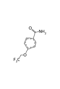 NC(=O)c1ccc(OCC(F)(F)F)cc1